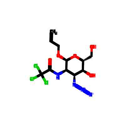 C=CCO[C@H]1O[C@H](CO)[C@@H](O)[C@H](N=[N+]=[N-])[C@H]1NC(=O)C(Cl)(Cl)Cl